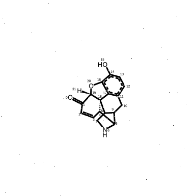 O=C1C=CC2C3NCC4C3Cc3ccc(O)c5c3[C@@]24[C@H]1O5